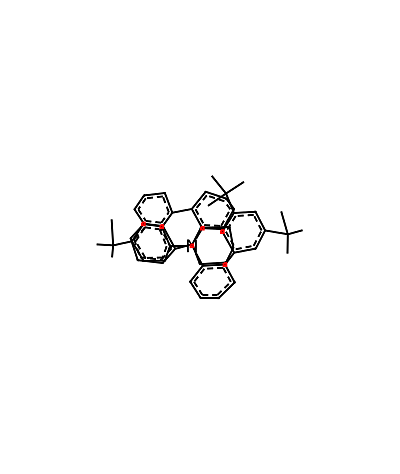 CC(C)(C)c1ccc(N(c2ccccc2-c2cc(C(C)(C)C)cc(C(C)(C)C)c2)c2ccccc2-c2cccc3cccc(C4CCCCC4)c23)cc1